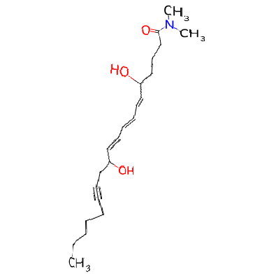 CCCCCC#CCC(O)C=CC=CC=CC(O)CCCC(=O)N(C)C